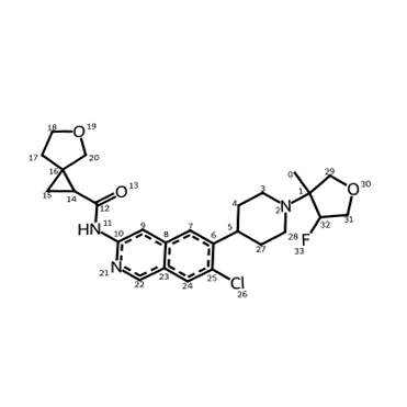 CC1(N2CCC(c3cc4cc(NC(=O)C5CC56CCOC6)ncc4cc3Cl)CC2)COCC1F